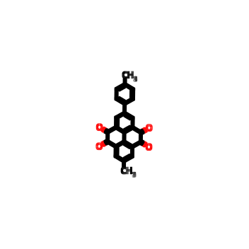 Cc1ccc(-c2cc3c4c(c2)c(=O)c(=O)c2cc(C)cc(c2-4)c(=O)c3=O)cc1